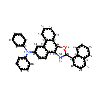 c1ccc(N(c2ccccc2)c2ccc3c4c(c5ccccc5c3c2)OC(c2cccc3ccccc23)N4)cc1